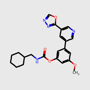 COc1cc(OC(=O)NCC2CCCCC2)cc(-c2cncc(-c3nnco3)c2)c1